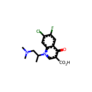 CC(CN(C)C)n1cc(C(=O)O)c(=O)c2cc(F)c(Cl)cc21